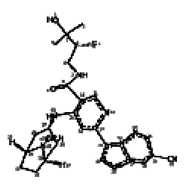 CC(C)(O)[C@H](F)CNC(=O)c1cnc(-c2ccc3cc(C#N)cnn23)cc1N[C@@H]1C[C@H]2CC[C@@H](C1)N2C(=O)O